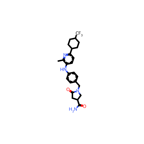 Cc1nc(C2CCC(C(F)(F)F)CC2)ccc1Nc1ccc(CN2CC(C(N)=O)CC2=O)cc1